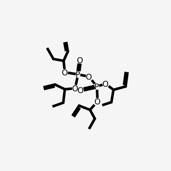 C=CC(CC)OP(=O)(OC(C=C)CC)OP(=O)(OC(C=C)CC)OC(C=C)CC